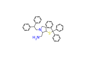 NCC1C(SC(c2ccccc2)(c2ccccc2)c2ccccc2)CCN1CC(c1ccccc1)c1ccccc1